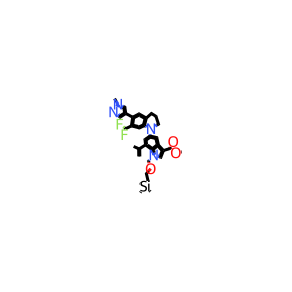 C=C(C)c1cc(N2CCCc3cc(-c4cnn(C)c4)c(C(F)F)cc32)cc2c(C(=O)OC)cn(COCC[Si](C)(C)C)c12